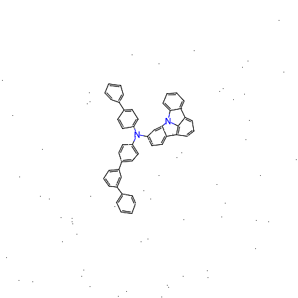 c1ccc(-c2ccc(N(c3ccc(-c4cccc(-c5ccccc5)c4)cc3)c3ccc4c5cccc6c7ccccc7n(c4c3)c65)cc2)cc1